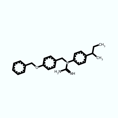 CCC(C)c1ccc(N(Cc2ccc(OCc3ccccc3)cc2)C(=N)N)cc1